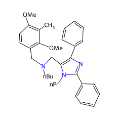 CCCCN(Cc1ccc(OC)c(C)c1OC)Cc1c(-c2ccccc2)nc(-c2ccccc2)n1CCC